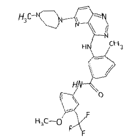 COc1ccc(NC(=O)c2ccc(C)c(Nc3ncnc4ccc(N5CCN(C)CC5)nc34)c2)cc1C(F)(F)F